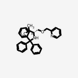 CC(C)[C@H](COCc1ccccn1)NC(c1ccccc1)(c1ccccc1)c1ccccc1